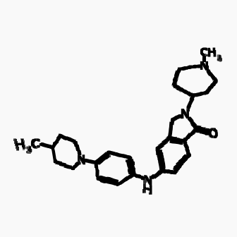 CC1CCN(c2ccc(Nc3ccc4c(c3)CN(C3CCN(C)CC3)C4=O)cc2)CC1